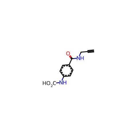 C#CCNC(=O)c1ccc(NC(=O)O)cc1